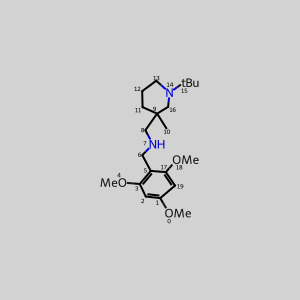 COc1cc(OC)c(CNCC2(C)CCCN(C(C)(C)C)C2)c(OC)c1